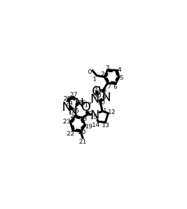 CCc1ccccc1-c1nc(C2CCCN2C(=O)c2cc(C)ccc2-n2nccn2)no1